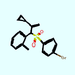 C=C(C1CC1)C(c1ccccc1C)S(=O)(=O)c1ccc(Br)cc1